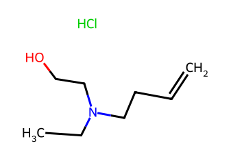 C=CCCN(CC)CCO.Cl